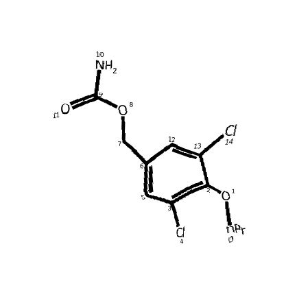 CCCOc1c(Cl)cc(COC(N)=O)cc1Cl